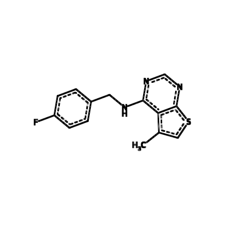 Cc1csc2ncnc(NCc3ccc(F)cc3)c12